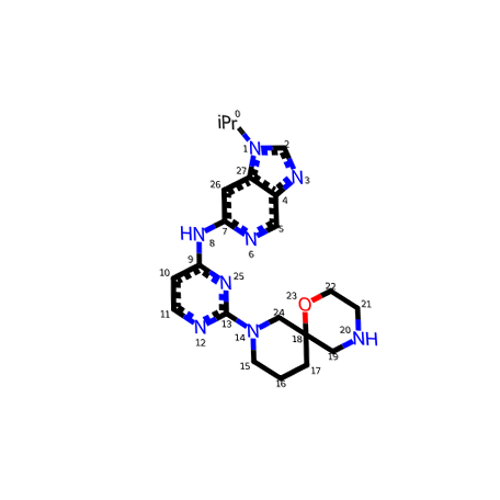 CC(C)n1cnc2cnc(Nc3ccnc(N4CCCC5(CNCCO5)C4)n3)cc21